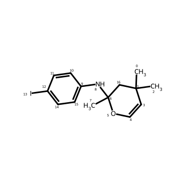 CC1(C)C=COC(C)(Nc2ccc(I)cc2)C1